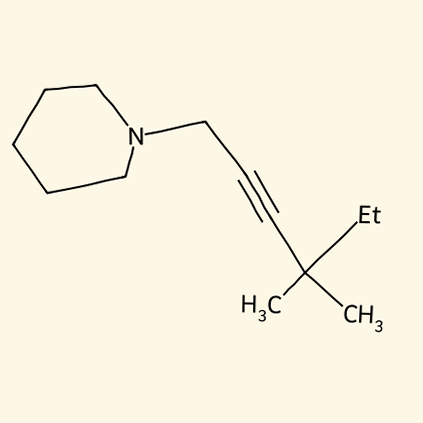 CCC(C)(C)C#CCN1CCCCC1